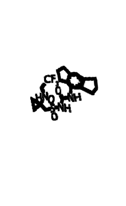 O=C(Nc1c2c(cc3c1CCC3)CCC2)NS(=O)(=O)CC1(NCC(F)(F)F)CC1